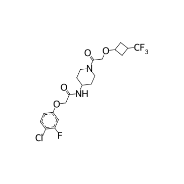 O=C(COc1ccc(Cl)c(F)c1)NC1CCN(C(=O)COC2CC(C(F)(F)F)C2)CC1